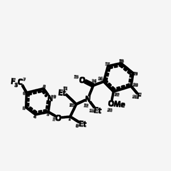 CCC(Oc1ccc(C(F)(F)F)cn1)C(CC)N(CC)C(=O)c1cccc(F)c1OC